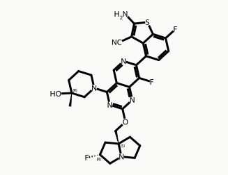 C[C@@]1(O)CCCN(c2nc(OC[C@@]34CCCN3C[C@H](F)C4)nc3c(F)c(-c4ccc(F)c5sc(N)c(C#N)c45)ncc23)C1